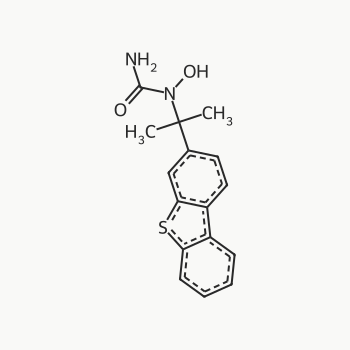 CC(C)(c1ccc2c(c1)sc1ccccc12)N(O)C(N)=O